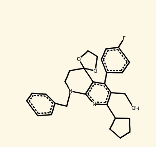 OCc1c(C2CCCC2)nc2c(c1-c1ccc(F)cc1)C1(CCN2Cc2ccccc2)OCCO1